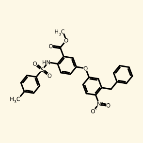 COC(=O)c1cc(Oc2ccc([N+](=O)[O-])c(Cc3ccccc3)c2)ccc1NS(=O)(=O)c1ccc(C)cc1